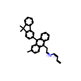 C=C/C=C\N=C/Cc1c2ccccc2c(-c2ccc3c(c2)-c2ccccc2C3(C)C)c2cc(C)ccc12